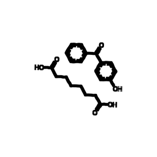 O=C(O)CCCCCCC(=O)O.O=C(c1ccccc1)c1ccc(O)cc1